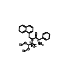 CCOC(OCC)[C@H](C)N(Cc1cccc2ccccc12)C(=O)[C@@H](N)c1ccccc1